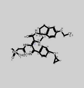 C[SH](=O)(C=O)CC(=O)N/C(C(=N)c1ccc(OC2CC2)cc1)=C1/NC[C@@]2(CCc3cc(OCC(F)(F)F)ccc32)NC1=O